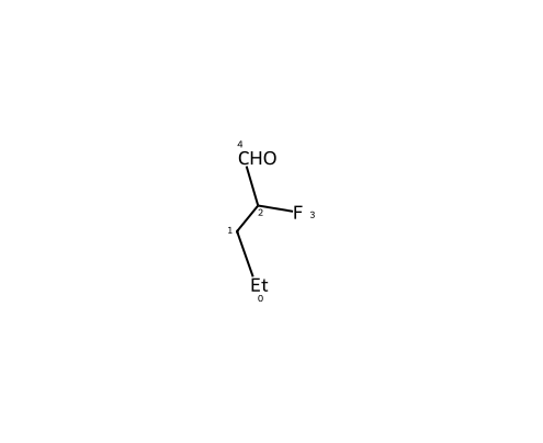 [CH2]CCC(F)C=O